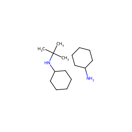 CC(C)(C)NC1CCCCC1.NC1CCCCC1